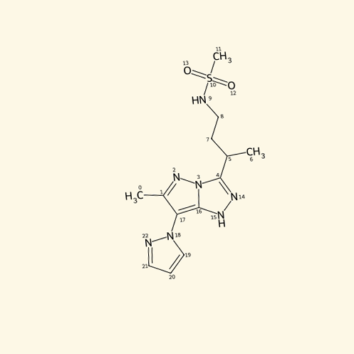 Cc1nn2c(C(C)CCNS(C)(=O)=O)n[nH]c2c1-n1cccn1